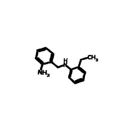 CCc1ccccc1NCc1ccccc1N